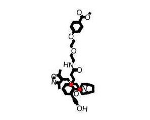 COC(=O)c1ccc(OCCOCCNC(=O)CCc2cccc(C#CO)c2C2CC3CCC(C2)N3C(=O)CSCc2c(C)noc2C)cc1